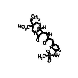 C=CC1(C(=O)O)CS[C@@H]2C(NC(=O)Cc3csc(NS(C)(=O)=O)n3)C(=O)N2C1